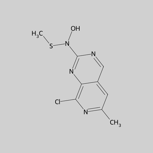 CSN(O)c1ncc2cc(C)nc(Cl)c2n1